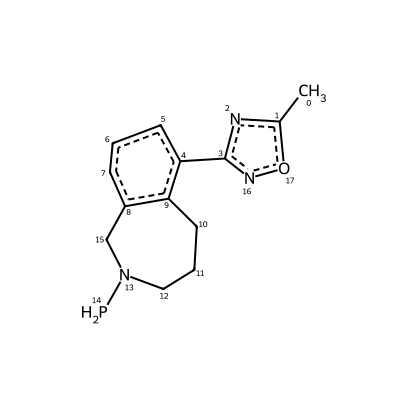 Cc1nc(-c2cccc3c2CCCN(P)C3)no1